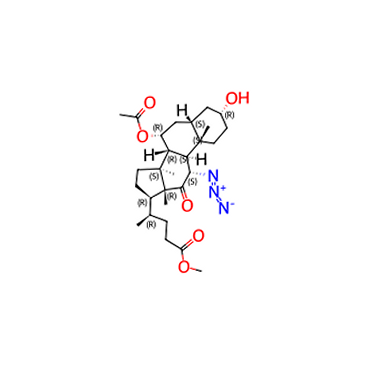 COC(=O)CC[C@@H](C)[C@H]1CC[C@@]2(C)[C@H]3[C@H]([C@H](N=[N+]=[N-])C(=O)[C@]12C)[C@@]1(C)CC[C@@H](O)C[C@H]1C[C@H]3OC(C)=O